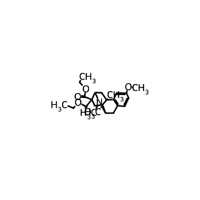 CCOC(=O)C1(C(=O)OCC)C[C@]2(C)C3Cc4ccc(OC)cc4[C@]2(C)CC1N3C